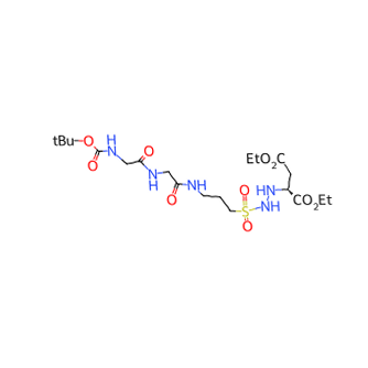 CCOC(=O)C[C@H](NNS(=O)(=O)CCCNC(=O)CNC(=O)CNC(=O)OC(C)(C)C)C(=O)OCC